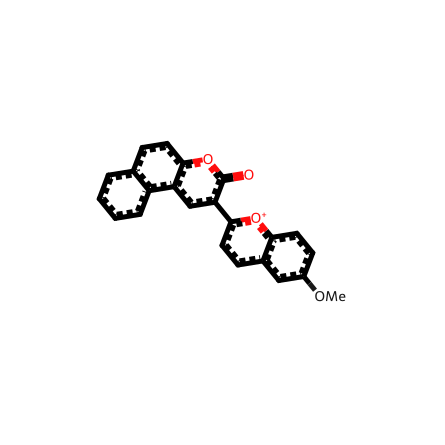 COc1ccc2[o+]c(-c3cc4c(ccc5ccccc54)oc3=O)ccc2c1